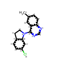 Cc1ccc2ncnc(N3CCc4ccc(Cl)cc43)c2c1